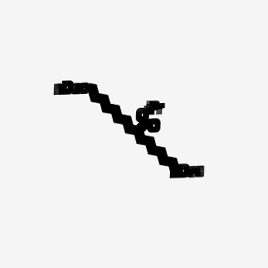 CCCCCCCCCCCCCCCCCCC(CCCCCCCCCCCCCCCC)C(=O)OC(C)C